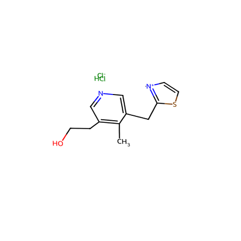 Cc1c(CCO)cncc1CC1=[N+]C=CS1.Cl.[Cl-]